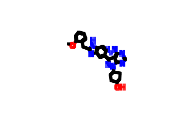 COc1ccccc1Cc1nc2cc(-c3nn(C4CCC(O)CC4)c4ncnc(N)c34)ccc2[nH]1